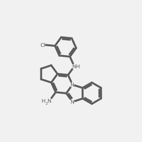 Nc1c2c(c(Nc3cccc(Cl)c3)n3c1nc1ccccc13)CCC2